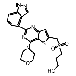 O=S(=O)(CCCO)Cc1cc2nc(-c3cccc4[nH]ncc34)nc(N3CCOCC3)c2s1